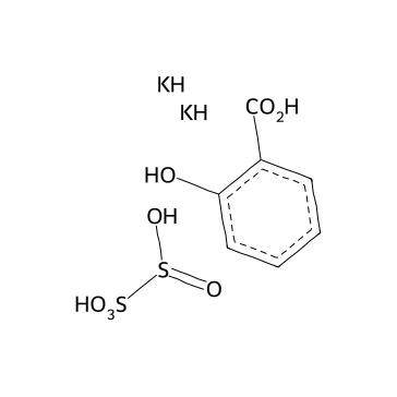 O=C(O)c1ccccc1O.O=S(O)S(=O)(=O)O.[KH].[KH]